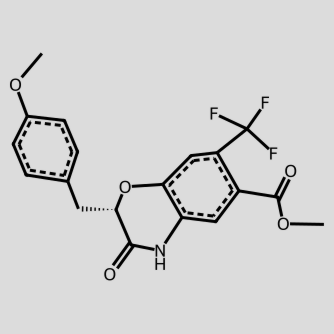 COC(=O)c1cc2c(cc1C(F)(F)F)O[C@@H](Cc1ccc(OC)cc1)C(=O)N2